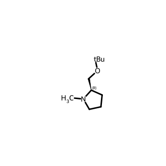 CN1CCC[C@@H]1COC(C)(C)C